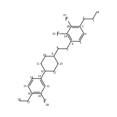 CCCc1ccc(CCC2CCC(c3ccc(CC)c(F)c3)CC2)c(F)c1F